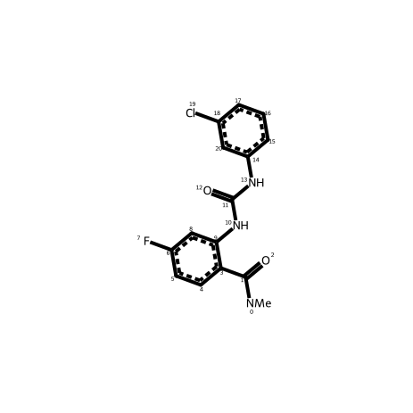 CNC(=O)c1ccc(F)cc1NC(=O)Nc1cccc(Cl)c1